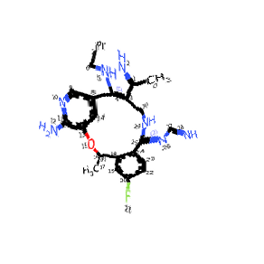 CC(=N)/C1=C(\NCC(C)C)c2cnc(N)c(c2)O[C@H](C)c2cc(F)ccc2/C(=N/C=N)NC1